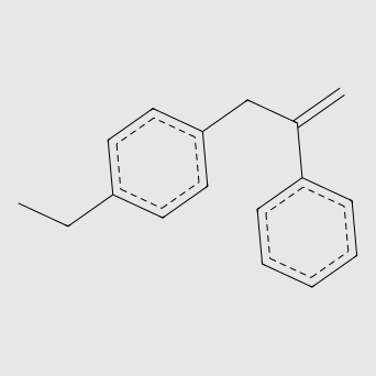 C=C(Cc1ccc(CC)cc1)c1ccccc1